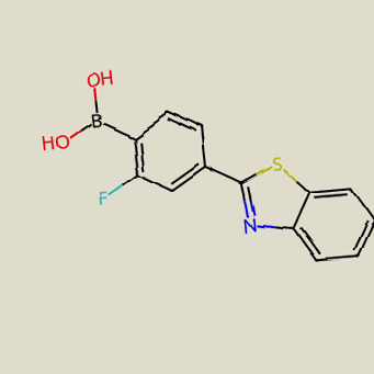 OB(O)c1ccc(-c2nc3ccccc3s2)cc1F